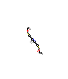 C=CC(=O)OCCCSc1ccc(C#Cc2cnc(-c3ncc(C#Cc4ccc(SCCCOC(=O)C=C)cc4)cc3C)c(C)c2)cc1